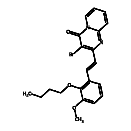 CCCCOc1c(C=Cc2nc3ccccn3c(=O)c2Br)cccc1OC